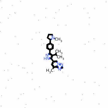 Cc1cc(-c2[nH]nc(-c3ccc(C4CCCN4C)cc3)c2C(C)C)cn2ncnc12